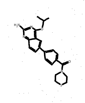 CC(C)Oc1nc(N)nc2ccc(-c3ccc(C(=O)N4CCSCC4)cc3)cc12